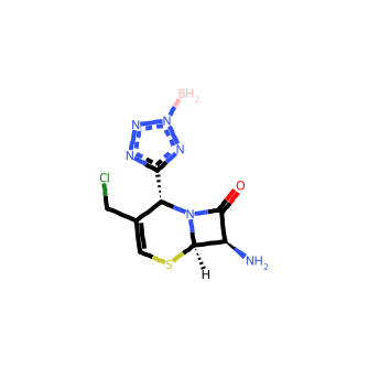 Bn1nnc([C@H]2C(CCl)=CS[C@@H]3[C@H](N)C(=O)N23)n1